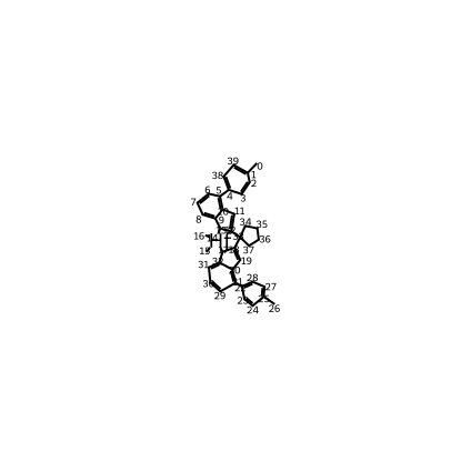 Cc1ccc(-c2cccc3c2C=C2[CH]3[Hf]([CH3])([CH3])[CH]3C(=Cc4c(-c5ccc(C)cc5)cccc43)C23CCCC3)cc1